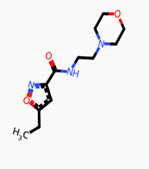 CCc1cc(C(=O)NCCN2CCOCC2)no1